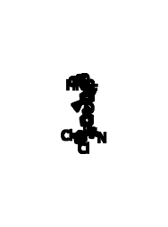 CC(C)(C#N)[C@H](c1cc(Cl)cc(Cl)c1)N1CCC(COc2cc(F)c(C(=O)NS(C)(=O)=O)cc2C2CC2)CC1